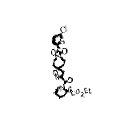 CCOC(=O)OC1CCCCN1C(=O)C1=NOC2(CCN(S(=O)(=O)c3ccc(Cl)s3)CC2)C1